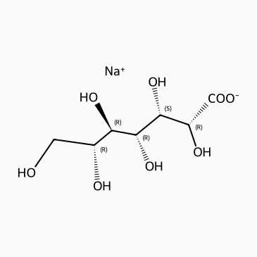 O=C([O-])[C@H](O)[C@@H](O)[C@H](O)[C@H](O)[C@H](O)CO.[Na+]